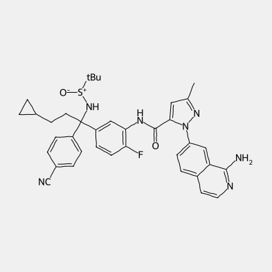 Cc1cc(C(=O)Nc2cc(C(CCC3CC3)(N[S+]([O-])C(C)(C)C)c3ccc(C#N)cc3)ccc2F)n(-c2ccc3ccnc(N)c3c2)n1